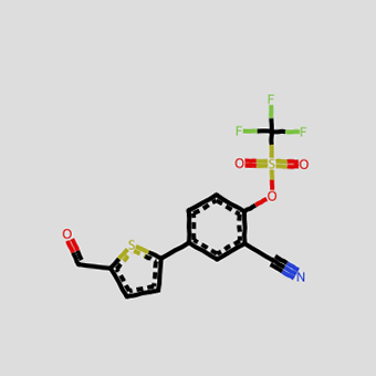 N#Cc1cc(-c2ccc(C=O)s2)ccc1OS(=O)(=O)C(F)(F)F